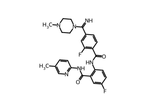 Cc1ccc(NC(=O)c2cc(F)ccc2NC(=O)c2ccc(C(=N)N3CCN(C)CC3)cc2F)nc1